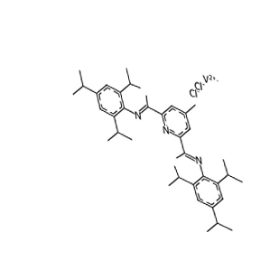 CC(=Nc1c(C(C)C)cc(C(C)C)cc1C(C)C)c1cc(C)cc(C(C)=Nc2c(C(C)C)cc(C(C)C)cc2C(C)C)n1.[Cl-].[Cl-].[V+2]